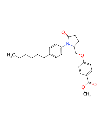 CCCCCCc1ccc(N2C(=O)CCC2COc2ccc(C(=O)OC)cc2)cc1